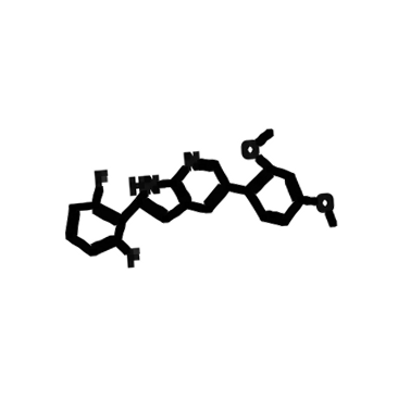 COc1ccc(-c2cnc3[nH]c(-c4c(F)cccc4F)cc3c2)c(OC)c1